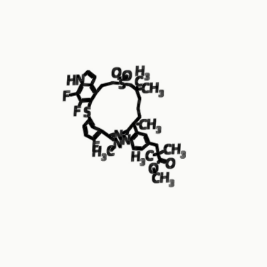 COC(=O)C(C)(C)Cc1cccc([C@@]2(C)CCCC(C)(C)CS(=O)(=O)CCc3c(c(F)c(F)c4[nH]ccc34)Sc3ccc(F)c(c3)-c3nc2nn3C)c1